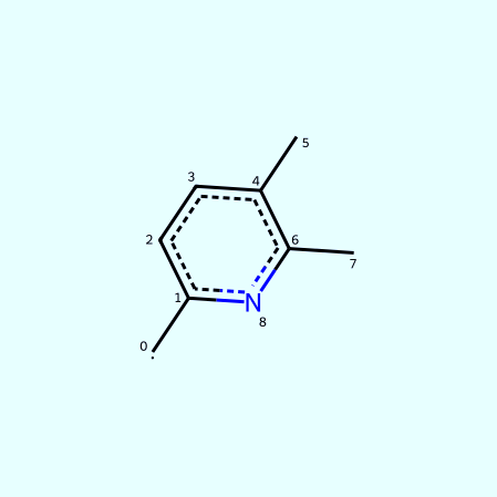 [CH2]c1ccc(C)c(C)n1